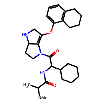 CNC(C)C(=O)NC(C(=O)N1CCC2NCC(Oc3cccc4c3CCCC4)=C21)C1CCCCC1